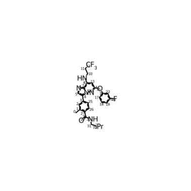 Cc1cc(-c2cnc3c(NCCC(F)(F)F)cc(Oc4cccc(F)c4)nn23)ccc1C(=O)NCC(C)C